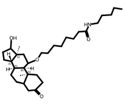 CCCCCNC(=O)CCCCCCCOC1C[C@]2(C)C(O)CC[C@H]2[C@@H]2CCC3CC(=O)CC[C@]3(C)[C@H]12